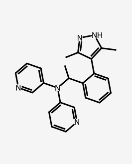 Cc1n[nH]c(C)c1-c1ccccc1C(C)N(c1cccnc1)c1cccnc1